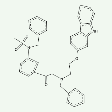 CS(=O)(=O)N(Cc1ccccc1)c1cccc(C(=O)CN(CCOc2ccc3c(c2)[nH]c2ccccc23)Cc2ccccc2)c1